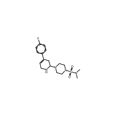 CN(C)S(=O)(=O)N1CCN(C2CC(c3ccc(F)cc3)=CCN2)CC1